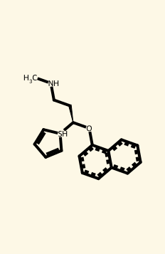 CNCC[C@@H](Oc1cccc2ccccc12)[SH]1C=CC=C1